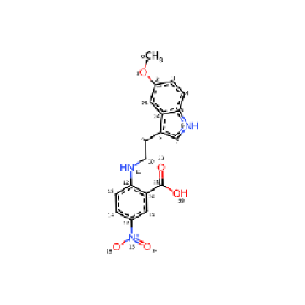 COc1ccc2[nH]cc(CCNc3ccc([N+](=O)[O-])cc3C(=O)O)c2c1